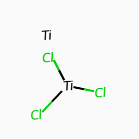 [Cl][Ti]([Cl])[Cl].[Ti]